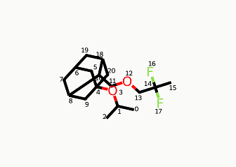 CC(C)OC12CC3CC(C1)C(COCC(C)(F)F)C(C3)C2